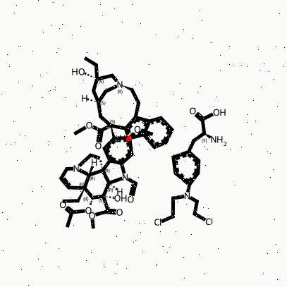 CC[C@]1(O)C[C@H]2C[N@](CCc3c([nH]c4ccccc34)[C@@](C(=O)OC)(c3cc4c(cc3OC)N(C=O)[C@H]3[C@@](O)(C(=O)OC)[C@H](OC(C)=O)[C@]5(CC)C=CCN6CC[C@]43[C@@H]65)C2)C1.N[C@@H](Cc1ccc(N(CCCl)CCCl)cc1)C(=O)O